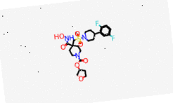 O=C(OC1CCOC1)N1CCC(CS(=O)(=O)N2CCC(c3cc(F)ccc3F)CC2)(C(=O)NO)CC1